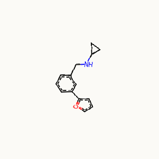 c1cc(CNC2CC2)cc(-c2ccco2)c1